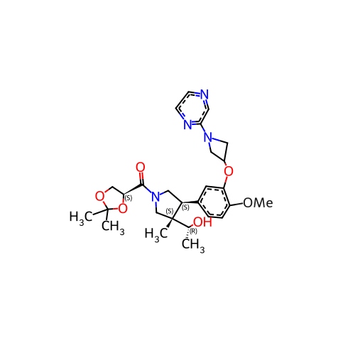 COc1ccc([C@@H]2CN(C(=O)[C@@H]3COC(C)(C)O3)C[C@@]2(C)[C@@H](C)O)cc1OC1CN(c2cnccn2)C1